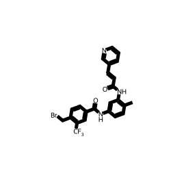 Cc1ccc(NC(=O)c2ccc(CBr)c(C(F)(F)F)c2)cc1NC(=O)C=Cc1cccnc1